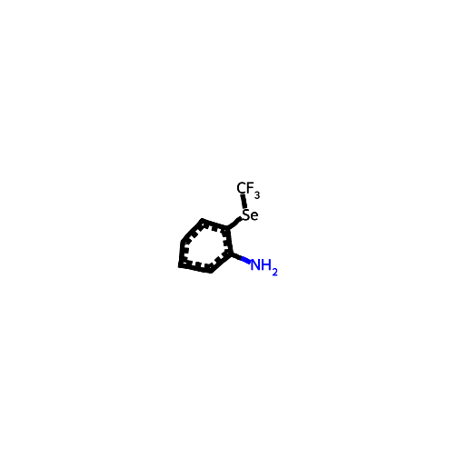 Nc1ccccc1[Se]C(F)(F)F